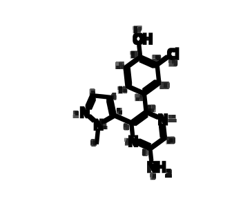 Cn1nccc1-c1nc(N)cnc1-c1ccc(O)c(Cl)c1